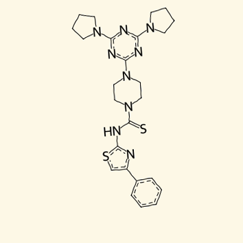 S=C(Nc1nc(-c2ccccc2)cs1)N1CCN(c2nc(N3CCCC3)nc(N3CCCC3)n2)CC1